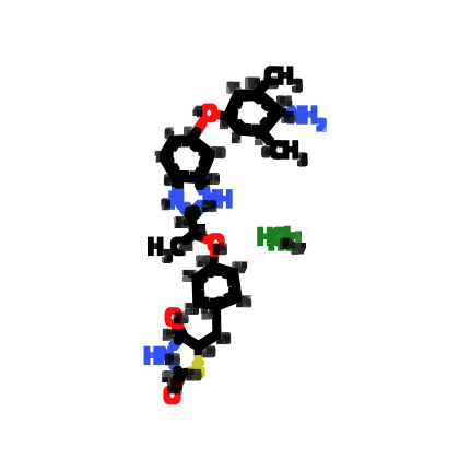 Cc1cc(Oc2ccc3nc(C(C)Oc4ccc(CC5SC(=O)NC5=O)cc4)[nH]c3c2)cc(C)c1N.Cl.Cl